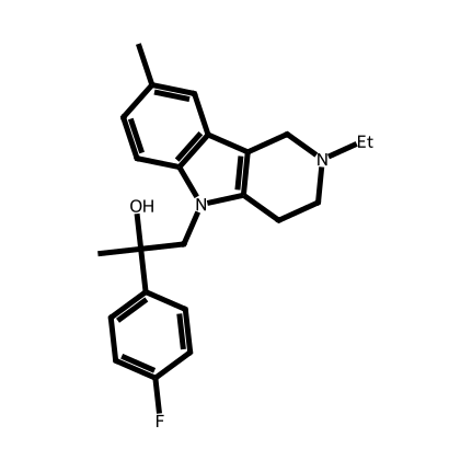 CCN1CCc2c(c3cc(C)ccc3n2CC(C)(O)c2ccc(F)cc2)C1